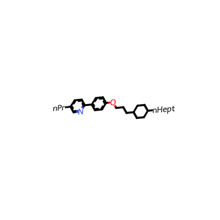 CCCCCCCC1CCC(CCCOc2ccc(-c3ccc(CCC)cn3)cc2)CC1